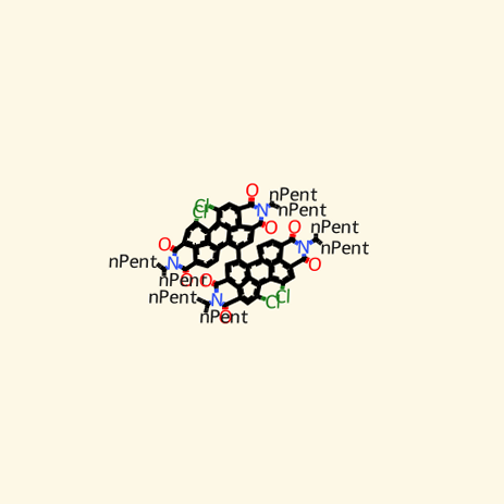 CCCCCC(CCCCC)N1C(=O)c2ccc3c4c(-c5cc6c7c(cc(Cl)c8c9c(Cl)cc%10c%11c(ccc(c5c78)c%119)C(=O)N(C(CCCCC)CCCCC)C%10=O)C(=O)N(C(CCCCC)CCCCC)C6=O)cc5c6c(cc(Cl)c(c7c(Cl)cc(c2c37)C1=O)c64)C(=O)N(C(CCCCC)CCCCC)C5=O